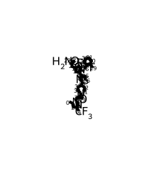 Cc1cc(C(F)(F)F)nn1CC(=O)N1CCC(c2nc(C3CC(CC(N)=O)ON3Cc3c(F)cccc3F)cs2)CC1